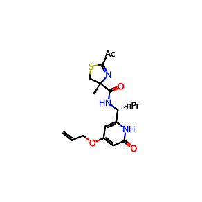 C=CCOc1cc([C@@H](CCC)NC(=O)[C@]2(C)CSC(C(C)=O)=N2)[nH]c(=O)c1